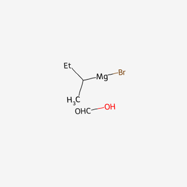 CC[CH](C)[Mg][Br].O=CO